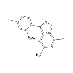 COc1cc(F)ccc1-n1ncc2c(Cl)nc(C)nc21